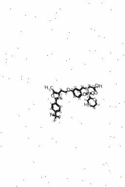 Cc1oc(-c2ccc(C(F)(F)F)cc2)nc1CCOc1cccc(CN(CC(=O)O)S(=O)(=O)C2CNCCO2)c1